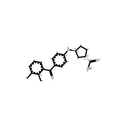 Cc1cccc(C(=O)c2ccc(O[C@H]3CC[C@H](C(=O)O)C3)cc2)c1C